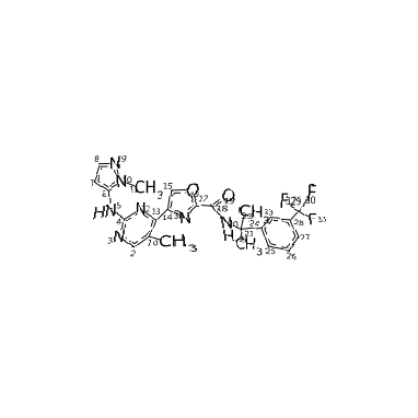 Cc1cnc(Nc2ccnn2C)nc1-c1coc(C(=O)NC(C)(C)c2cccc(C(F)(F)F)c2)n1